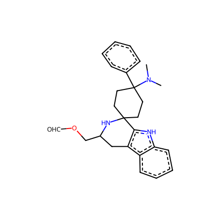 CN(C)C1(c2ccccc2)CCC2(CC1)NC(COC=O)Cc1c2[nH]c2ccccc12